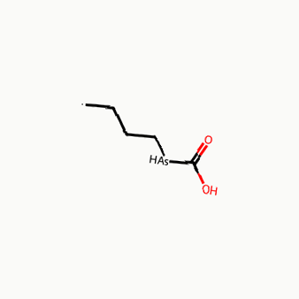 [CH2]CCC[AsH]C(=O)O